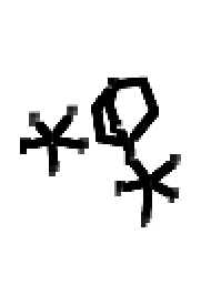 C1CN2CCN1CC2.FP(F)(F)(F)F.FP(F)(F)(F)F